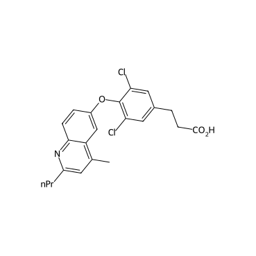 CCCc1cc(C)c2cc(Oc3c(Cl)cc(CCC(=O)O)cc3Cl)ccc2n1